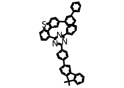 CC1(C)c2ccccc2-c2cc(-c3ccc(-c4nc(-c5ccccc5)nc(-c5cccc6sc7ccc(-c8cccc(-c9ccccc9)c8)cc7c56)n4)cc3)ccc21